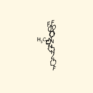 Cc1cc(N2CCN(CCN3CCC(F)CC3)CC2)nn1-c1ccc2c(c1)OC(F)(F)O2